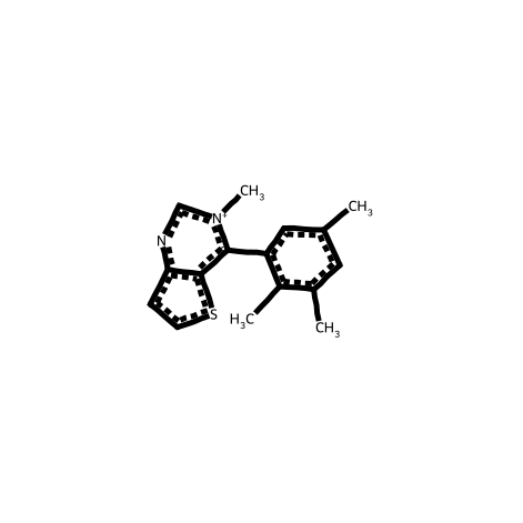 Cc1cc(C)c(C)c(-c2c3sccc3nc[n+]2C)c1